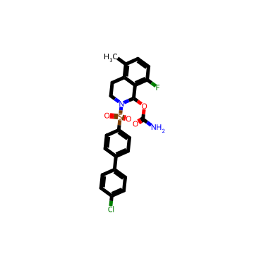 Cc1ccc(F)c2c1CCN(S(=O)(=O)c1ccc(-c3ccc(Cl)cc3)cc1)C2OC(N)=O